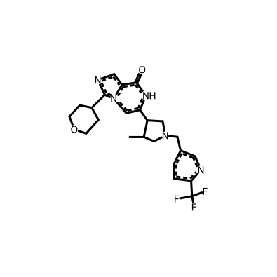 CC1CN(Cc2ccc(C(F)(F)F)nc2)CC1c1cn2c(C3CCOCC3)ncc2c(=O)[nH]1